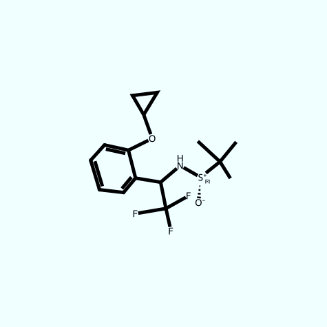 CC(C)(C)[S@+]([O-])NC(c1ccccc1OC1CC1)C(F)(F)F